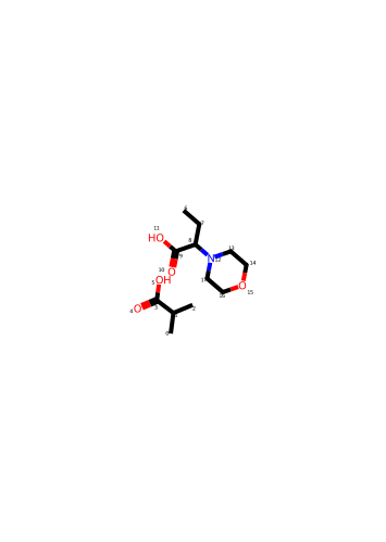 CC(C)C(=O)O.CCC(C(=O)O)N1CCOCC1